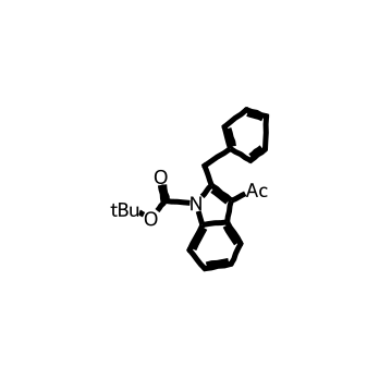 CC(=O)c1c(Cc2ccccc2)n(C(=O)OC(C)(C)C)c2ccccc12